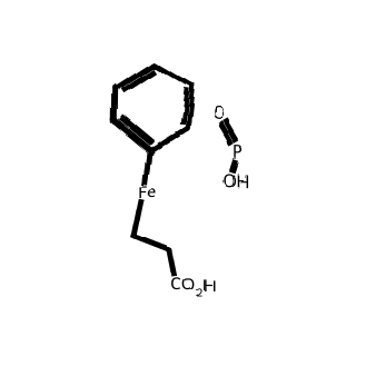 O=C(O)C[CH2][Fe][c]1ccccc1.O=PO